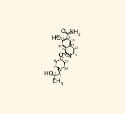 CC(O)CN1CCC(Oc2nccc3cc(C(N)=O)c(O)cc23)CC1